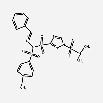 Cc1ccc(S(=O)(=O)N(/N=C/c2ccccc2)S(=O)(=O)c2ncn(S(=O)(=O)N(C)C)n2)cc1